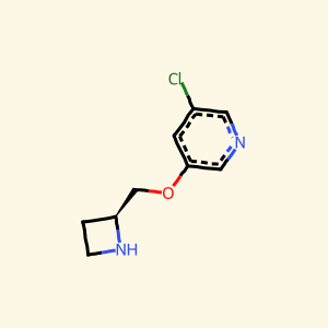 Clc1cncc(OC[C@@H]2CCN2)c1